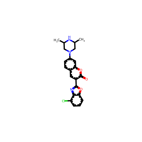 CC1CN(c2ccc3cc(-c4nc5c(Cl)cccc5o4)c(=O)oc3c2)CC(C)N1